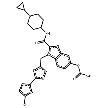 O=C(O)Oc1ccc2c(c1)nc(C(=O)NC1CCN(C3CC3)CC1)n2Cc1nnc(-c2ccc(Cl)s2)s1